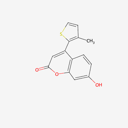 Cc1ccsc1-c1cc(=O)oc2cc(O)ccc12